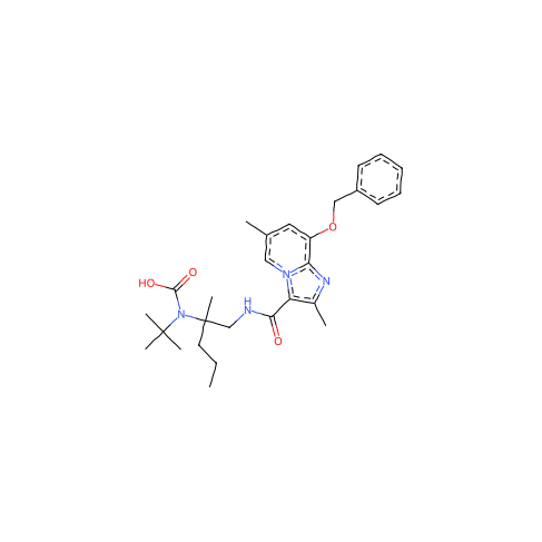 CCCC(C)(CNC(=O)c1c(C)nc2c(OCc3ccccc3)cc(C)cn12)N(C(=O)O)C(C)(C)C